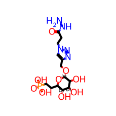 NNC(=O)CCn1cc(CO[C@H]2OC(CCP(=O)(O)O)[C@@H](O)[C@H](O)C2O)nn1